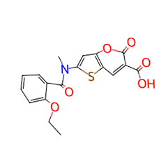 CCOc1ccccc1C(=O)N(C)c1cc2oc(=O)c(C(=O)O)cc2s1